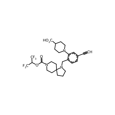 C#Cc1ccc(CN2CCCC23CCN(C(=O)OC(C(F)(F)F)C(F)(F)F)CC3)c(N2CCC(C(=O)O)CC2)c1